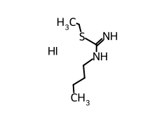 CCCCNC(=N)SCC.I